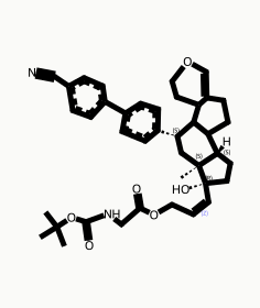 CC(C)(C)OC(=O)NCC(=O)OC/C=C\[C@]1(O)CC[C@H]2C3CCC4=COCCC4C3[C@@H](c3ccc(-c4ccc(C#N)cc4)cc3)C[C@@]21C